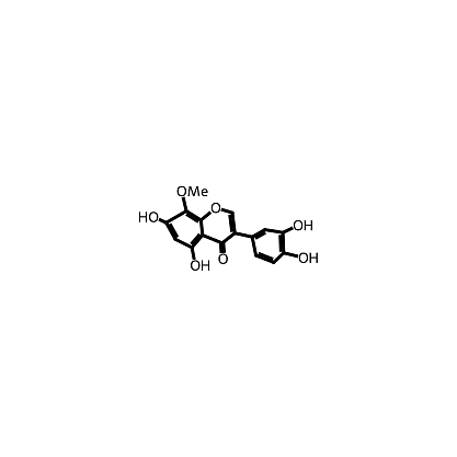 COc1c(O)cc(O)c2c(=O)c(-c3ccc(O)c(O)c3)coc12